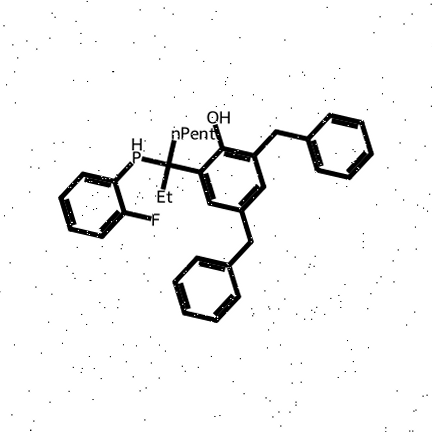 CCCCCC(CC)(Pc1ccccc1F)c1cc(Cc2ccccc2)cc(Cc2ccccc2)c1O